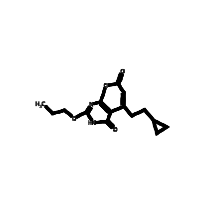 CCCOc1nc2oc(=O)cc(CCC3CC3)c2c(=O)[nH]1